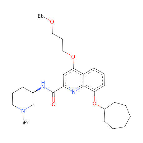 CCOCCCOc1cc(C(=O)N[C@@H]2CCCN(C(C)C)C2)nc2c(OC3CCCCCC3)cccc12